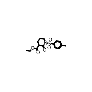 CCOC(=O)C1CCCN(S(=O)(=O)c2ccc(C)cc2)C1=O